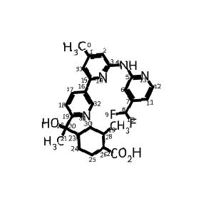 Cc1cc(Nc2cc(C(F)F)ccn2)nc(-c2ccc(C(C)(O)C3CCC(C(=O)O)C(C)C3)nc2)c1